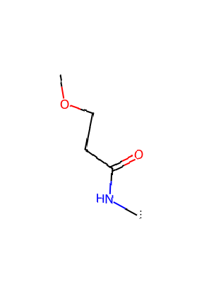 [C]NC(=O)CCOC